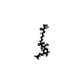 CC(C)C(NS(=O)(=O)CCCCCOC(=O)CN)c1ccc(F)c(OCC2CC2)c1